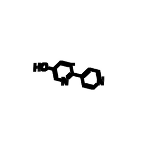 Oc1c[c]c(-c2ccncc2)nc1